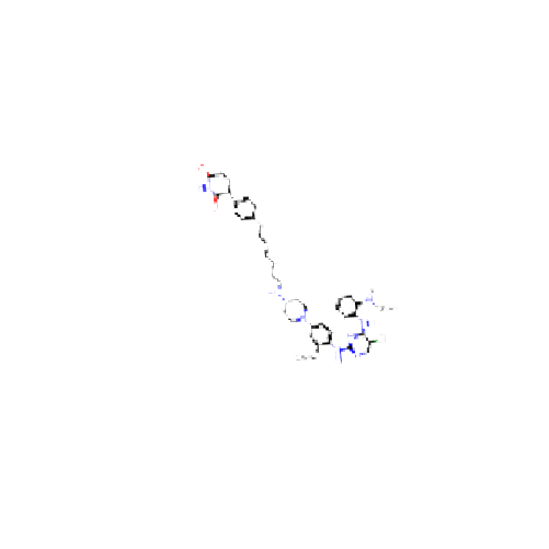 COc1cc(N2CCC(NCCCCCCCc3ccc(C4CCC(=O)NC4=O)cc3)CC2)ccc1Nc1ncc(Cl)c(Nc2ccccc2N(C)SC)n1